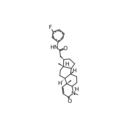 CN1C(=O)C=C[C@]2(C)[C@H]3CC[C@]4(C)[C@@H](CC(=O)Nc5cccc(F)c5)CC[C@H]4[C@@H]3CC[C@@H]12